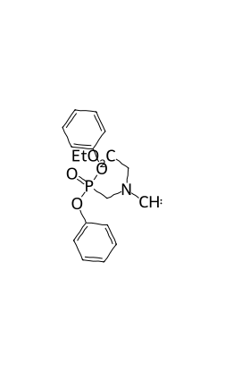 [CH]N(CC(=O)OCC)CP(=O)(Oc1ccccc1)Oc1ccccc1